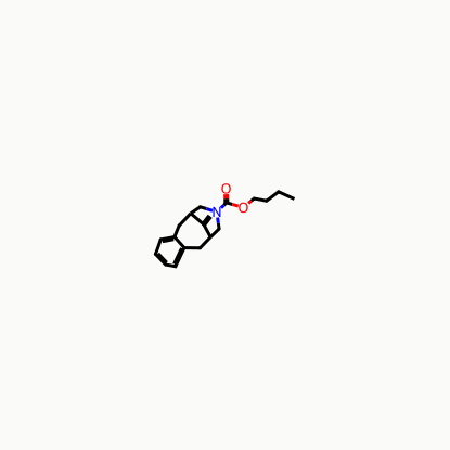 C=C1C2Cc3ccccc3CC1CN(C(=O)OCCCC)C2